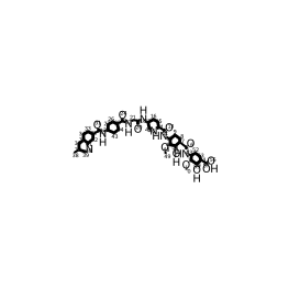 COc1c(NC(=O)c2ccc(NC(=O)c3ccc(NC(=O)CNC(=O)c4ccc(NC(=O)c5ccc6cc(C)cnc6c5)cc4)cn3)c(OC)c2O)ccc(C(=O)O)c1O